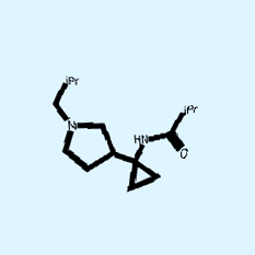 CC(C)CN1CCC(C2(NC(=O)C(C)C)CC2)C1